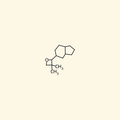 CC1(C)COC1C1CCC2CCCC2C1